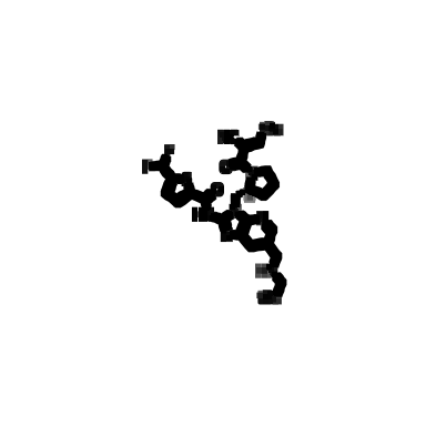 CC(C)(C)C=C(C#N)C(=O)N1CCC[C@@H]1Cn1c(NC(=O)c2ccc(C(F)F)s2)nc2cc(CNCC(C)(C)C)cnc21